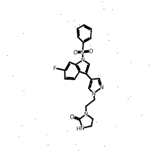 O=C1NCCN1CCn1cc(-c2cn(S(=O)(=O)c3ccccc3)c3cc(F)ccc23)cn1